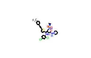 O=C(NN1CCCCC1)c1nn(-c2ccc(Cl)cc2Cl)c(-c2ccc(C#Cc3ccc(C(F)(F)F)cc3)s2)c1CNS(=O)(=O)N1CC1